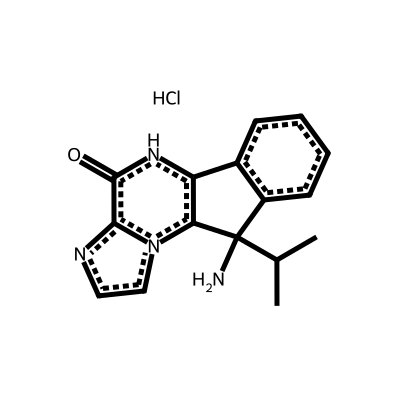 CC(C)C1(N)c2ccccc2-c2[nH]c(=O)c3nccn3c21.Cl